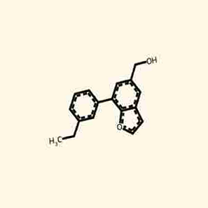 CCc1cccc(-c2cc(CO)cc3ccoc23)c1